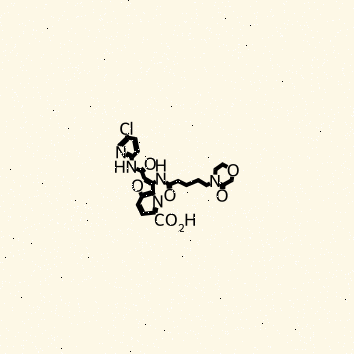 O=C(CCCCN1CCOCC1=O)Nc1c(C(=O)Nc2ccc(Cl)cn2)oc2ccc(C(=O)O)nc12